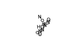 COc1ccccc1N1CCN(CC(O)Cn2nc(-c3ccc(C#N)cc3)c3c2CCN(C(C)=O)C3)CC1